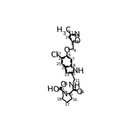 Cc1cc(COc2cc3[nH]c(CNC(=O)C4CCCN4C(=O)O)cc3cc2Cl)on1